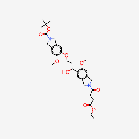 CCOC(=O)CCC(=O)N1Cc2cc(OC)c(C(O)CCOc3cc4c(cc3OC)CN(C(=O)OC(C)(C)C)C4)cc2C1